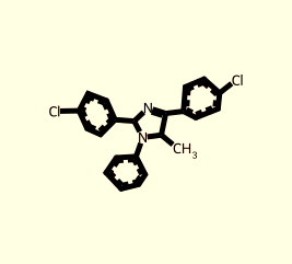 CC1C(c2ccc(Cl)cc2)=NC(c2ccc(Cl)cc2)N1c1ccccc1